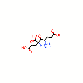 NC(CCC(=O)O)C(=O)C(N)(CCC(=O)O)C(=O)O